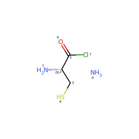 N.N[C@@H](CS)C(=O)Cl